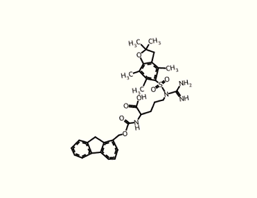 Cc1c(C)c(S(=O)(=O)N(CCCC(NC(=O)OCc2cccc3c2Cc2ccccc2-3)C(=O)O)C(=N)N)c(C)c2c1OC(C)(C)C2